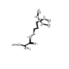 CCCCCC(C)C(=O)OSCCC[Si](OCC)(OCC)OCC